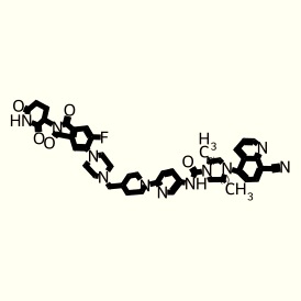 C[C@@H]1CN(c2ccc(C#N)c3ncccc23)[C@@H](C)CN1C(=O)Nc1ccc(N2CCC(CN3CCN(c4cc5c(cc4F)C(=O)N(C4CCC(=O)NC4=O)C5=O)CC3)CC2)nc1